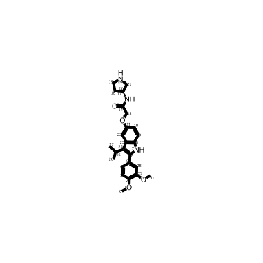 COc1ccc(-c2[nH]c3ccc(OCC(=O)N[C@H]4CCNC4)cc3c2C(C)C)cc1OC